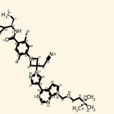 CC[C@@H](NC(=O)c1cc(F)c(N2CC(CC#N)(n3cc(-c4ncnc5c4ccn5COCCS(C)(C)C)cn3)C2)cc1F)C1CC1